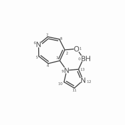 B1OC2=C(C=CN=C=C2)n2ccnc21